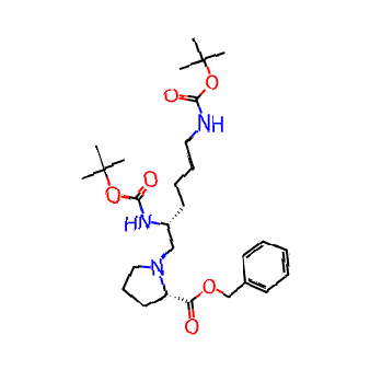 CC(C)(C)OC(=O)NCCCC[C@H](CN1CCC[C@H]1C(=O)OCc1ccccc1)NC(=O)OC(C)(C)C